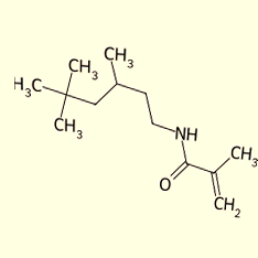 C=C(C)C(=O)NCCC(C)CC(C)(C)C